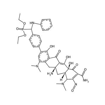 CCOP(=O)(OCC)C(Nc1ccccc1)c1ccc(-c2cc(N(C)C)c3c(c2O)C(=O)C2=C(O)[C@]4(O)C(=O)C(C(N)=O)=C(N=O)C(N(C)C)[C@@H]4C[C@]2(N)C3)cc1